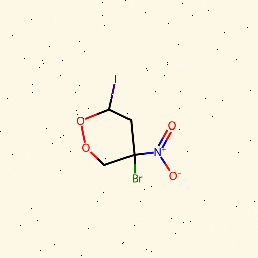 O=[N+]([O-])C1(Br)COOC(I)C1